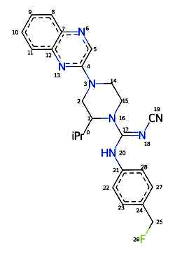 CC(C)C1CN(c2cnc3ccccc3n2)CCN1/C(=N\C#N)Nc1ccc(CF)cc1